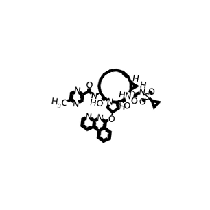 Cc1cnc(C(=O)N[C@H]2CCCCCC=C[C@@H]3C[C@@]3(C(=O)NS(=O)(=O)C3CC3)NC(=O)[C@@H]3C[C@@H](Oc4nc5ncccc5c5ccccc45)CN3C2=O)cn1